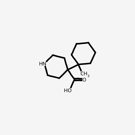 CC1(C2(C(=O)O)CCNCC2)CCCCC1